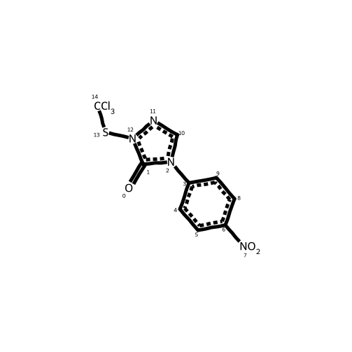 O=c1n(-c2ccc([N+](=O)[O-])cc2)cnn1SC(Cl)(Cl)Cl